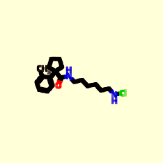 Cc1ccccc1C1(C(=O)NCCCCCCNCl)CCCC1